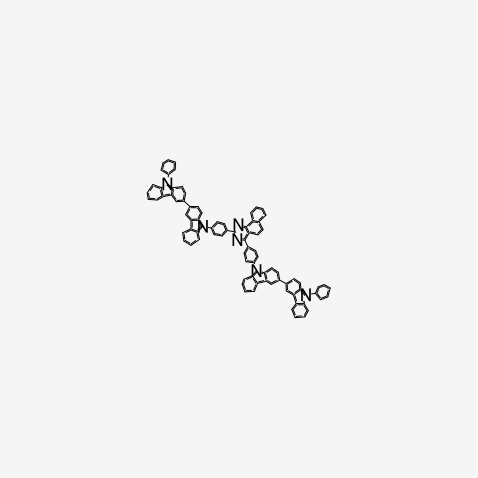 c1ccc(-n2c3ccccc3c3cc(-c4ccc5c(c4)c4ccccc4n5-c4ccc(-c5nc(-c6ccc(-n7c8ccccc8c8cc(-c9ccc%10c(c9)c9ccccc9n%10-c9ccccc9)ccc87)cc6)c6ccc7ccccc7c6n5)cc4)ccc32)cc1